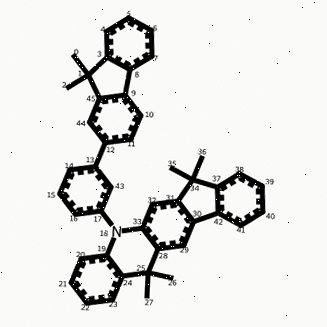 CC1(C)c2ccccc2-c2ccc(-c3cccc(N4c5ccccc5C(C)(C)c5cc6c(cc54)C(C)(C)c4ccccc4-6)c3)cc21